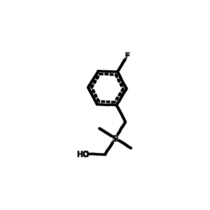 C[Si](C)(CO)Cc1cccc(F)c1